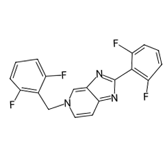 Fc1cccc(F)c1Cn1ccc2nc(-c3c(F)cccc3F)nc-2c1